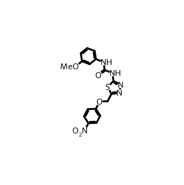 COc1cccc(NC(=O)Nc2nnc(COc3ccc([N+](=O)[O-])cc3)s2)c1